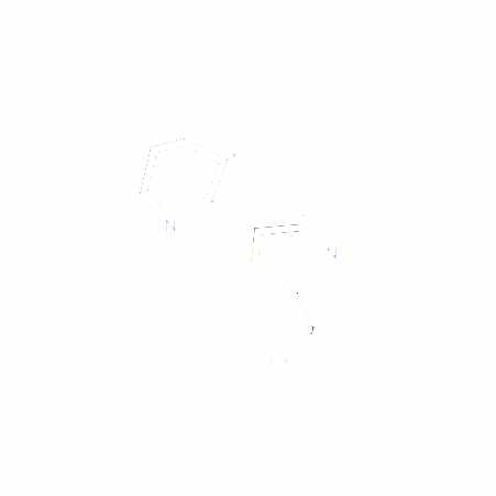 O=C(O)c1ncc(-c2ccccn2)s1